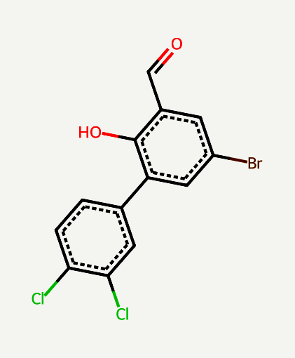 O=Cc1cc(Br)cc(-c2ccc(Cl)c(Cl)c2)c1O